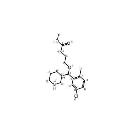 COC(=O)NCCOC(c1cc(Cl)ccc1C)[C@@H]1CCCNC1